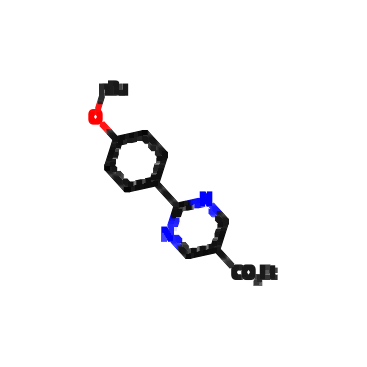 CCCCOc1ccc(-c2ncc(C(=O)OCC)cn2)cc1